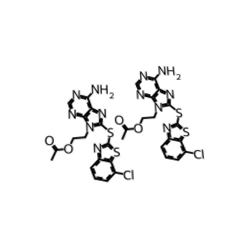 CC(=O)OCCn1c(Sc2nc3cccc(Cl)c3s2)nc2c(N)ncnc21.CC(=O)OCCn1c(Sc2nc3cccc(Cl)c3s2)nc2c(N)ncnc21